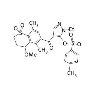 CCn1ncc(C(=O)c2cc(C)c3c(c2C)C(OC)CCS3(=O)=O)c1OS(=O)(=O)c1ccc(C)cc1